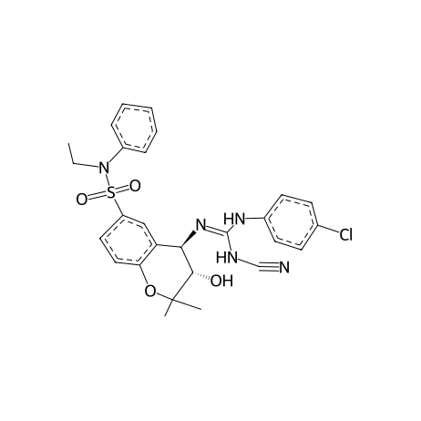 CCN(c1ccccc1)S(=O)(=O)c1ccc2c(c1)[C@@H](N=C(NC#N)Nc1ccc(Cl)cc1)[C@H](O)C(C)(C)O2